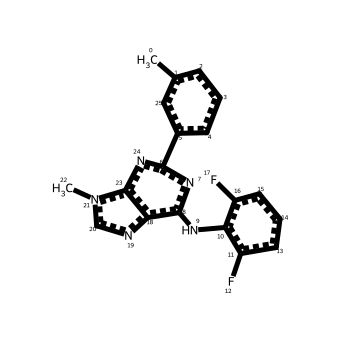 Cc1cccc(-c2nc(Nc3c(F)cccc3F)c3ncn(C)c3n2)c1